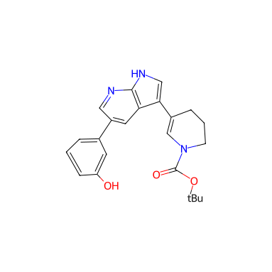 CC(C)(C)OC(=O)N1C=C(c2c[nH]c3ncc(-c4cccc(O)c4)cc23)CCC1